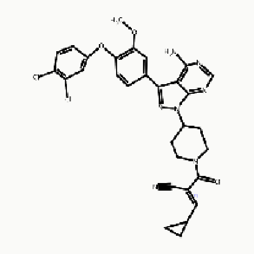 COc1cc(-c2nn(C3CCN(C(=O)/C(C#N)=C/C4CC4)CC3)c3ncnc(N)c23)ccc1Oc1ccc(Cl)c(Cl)c1